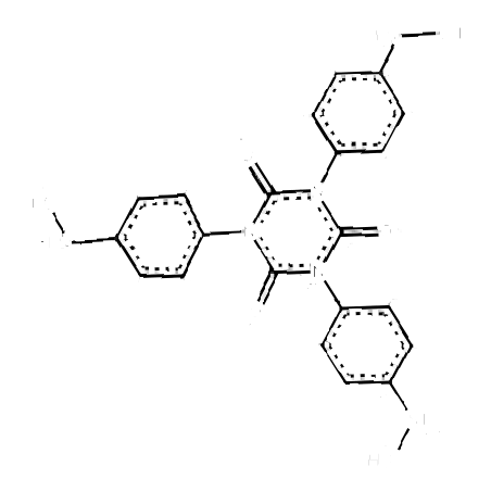 C[SiH2]c1ccc(-n2c(=O)n(-c3ccc([SiH2]C)cc3)c(=O)n(-c3ccc([SiH2]C)cc3)c2=O)cc1